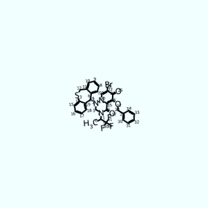 CC(N1CN([C@H]2c3ccccc3CSc3ccccc32)n2cc(Br)c(=O)c(OCc3ccccc3)c2C1=O)C(F)(F)F